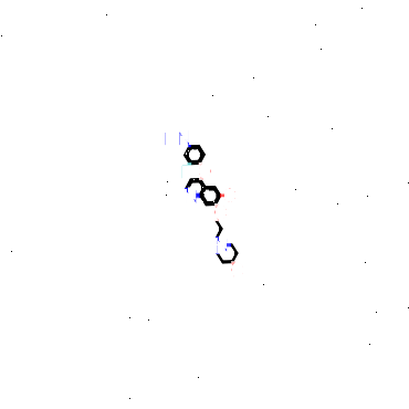 CNc1ccc(Oc2ccnc3cc(OCCCN4CCC(OC)CC4)c(OC)cc23)c(F)c1